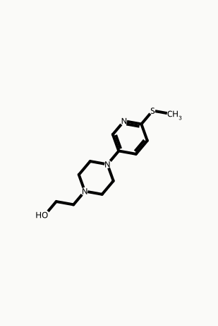 CSc1ccc(N2CCN(CCO)CC2)cn1